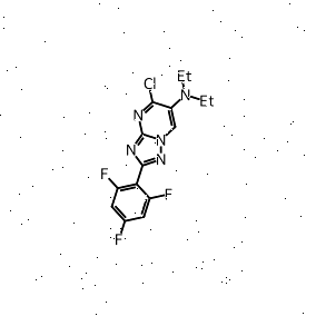 CCN(CC)c1cn2nc(-c3c(F)cc(F)cc3F)nc2nc1Cl